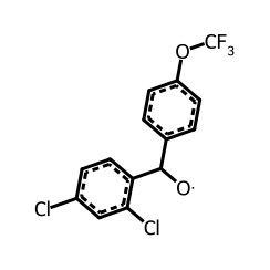 [O]C(c1ccc(OC(F)(F)F)cc1)c1ccc(Cl)cc1Cl